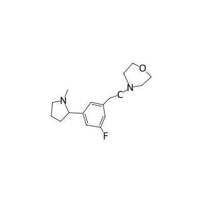 CN1CCCC1c1cc(F)cc(CCN2CCOCC2)c1